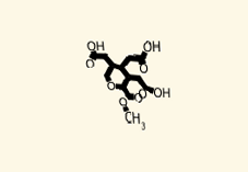 COC(=O)C1OCC(CC(=O)O)C(CC(=O)O)C1CC(=O)O